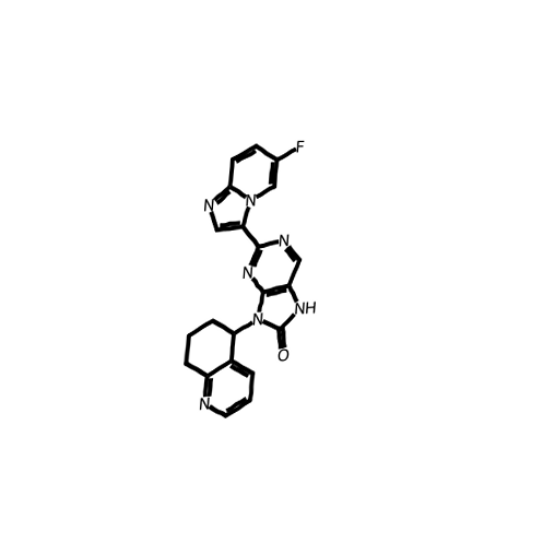 O=c1[nH]c2cnc(-c3cnc4ccc(F)cn34)nc2n1C1CCCc2ncccc21